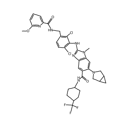 COc1cccc(C(=O)NCc2ccc(Cl)c(Nc3nc4cc(C(=O)NC5CCC(C(F)(F)F)CC5)c(N5CC6CC6C5)cc4n3C)c2Cl)n1